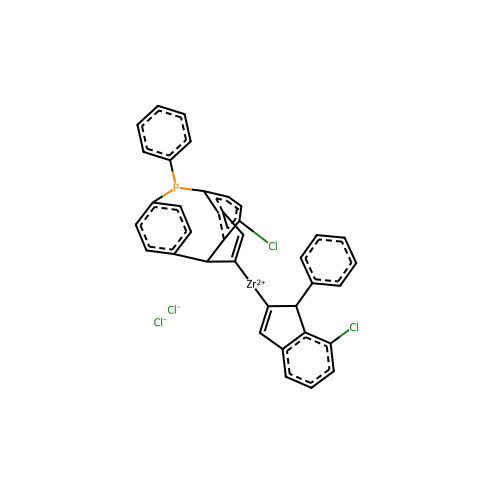 Clc1cccc2c1C(c1ccccc1)[C]([Zr+2][C]1=Cc3c4ccc(Cl)c3C1c1ccc(cc1)P4c1ccccc1)=C2.[Cl-].[Cl-]